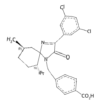 CC(C)[C@@H]1CC[C@@H](C)CC12N=C(c1cc(Cl)cc(Cl)c1)C(=O)N2Cc1ccc(C(=O)O)cc1